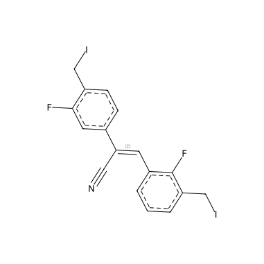 N#C/C(=C\c1cccc(CI)c1F)c1ccc(CI)c(F)c1